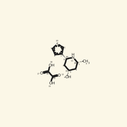 C[C@@H]1C[C@H](O)C[C@H](c2ccsc2)N1.O=C(O)C(=O)O